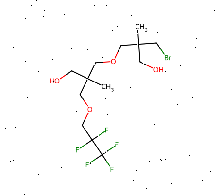 CC(CO)(CBr)COCC(C)(CO)COCC(F)(F)C(F)(F)F